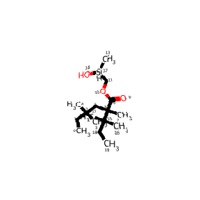 CCC(C)(C)CC(C)(C(=O)OC[SiH](C)O)C(C)(C)CC